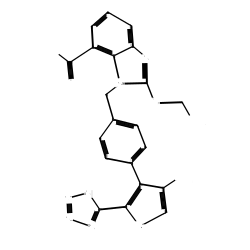 CCOc1nc2cccc(C(=O)O)c2n1Cc1ccc(-c2c(C)c[nH]c2-c2nnn[nH]2)cc1